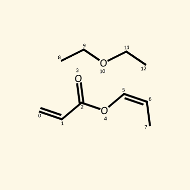 C=CC(=O)O/C=C\C.CCOCC